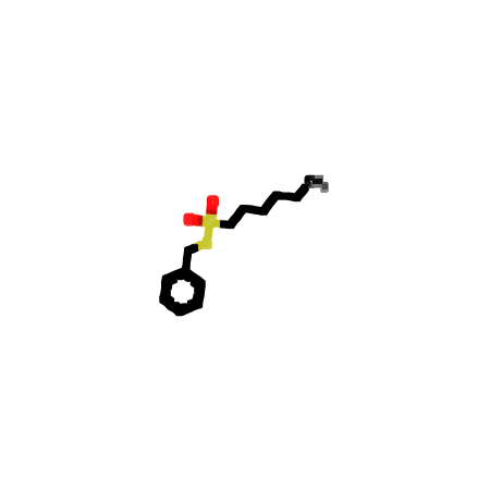 CCCCCCS(=O)(=O)SCc1ccccc1